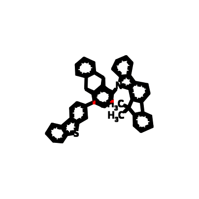 CC1(C)c2ccccc2-c2ccc3c4ccccc4n(-c4ccc(-c5ccc6c(c5)sc5ccccc56)c5c4C4c6ccccc6C5c5ccccc54)c3c21